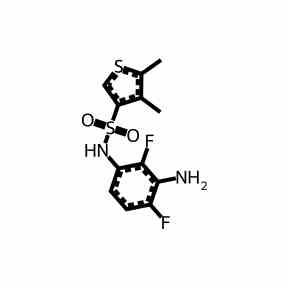 Cc1scc(S(=O)(=O)Nc2ccc(F)c(N)c2F)c1C